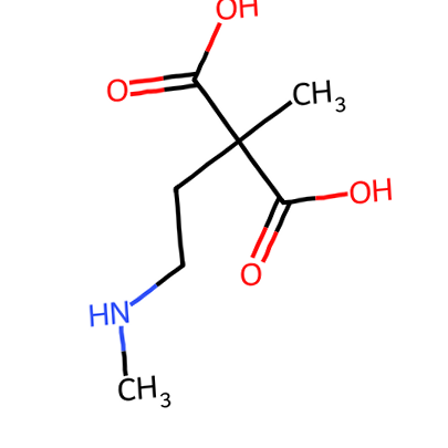 CNCCC(C)(C(=O)O)C(=O)O